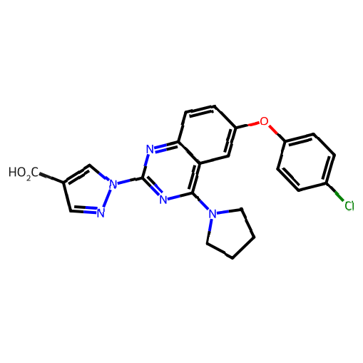 O=C(O)c1cnn(-c2nc(N3CCCC3)c3cc(Oc4ccc(Cl)cc4)ccc3n2)c1